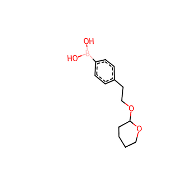 OB(O)c1ccc(CCOC2CCCCO2)cc1